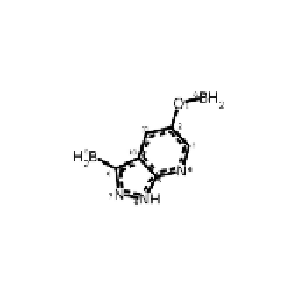 BOc1cnc2[nH]nc(B)c2c1